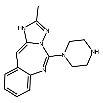 CC1=NN2C(=Cc3ccccc3N=C2N2CCNCC2)N1